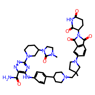 CN1CCN(C2CCCN(c3nnc(C(N)=O)c(Nc4ccc(C5CCN(CC6(C)CCN(c7ccc8c(c7)C(=O)N(C7CCC(=O)NC7=O)C8=O)C6)CC5)cc4)n3)C2)C1=O